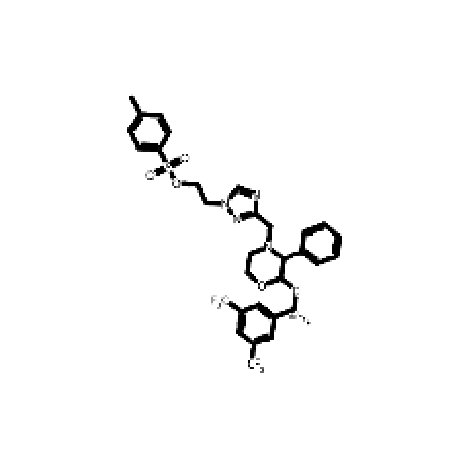 Cc1ccc(S(=O)(=O)OCCn2cnc(CN3CCOC(O[C@H](C)c4cc(C(F)(F)F)cc(C(F)(F)F)c4)C3c3ccccc3)n2)cc1